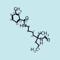 CCCC(CC)(CCCCNC(=O)c1cccc(C)c1)NC=O